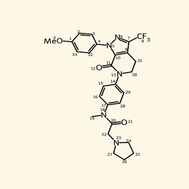 COc1ccc(-n2nc(C(F)(F)F)c3c2C(=O)N(c2ccc(N(C)C(=O)CN4CCCC4)cc2)CC3)cc1